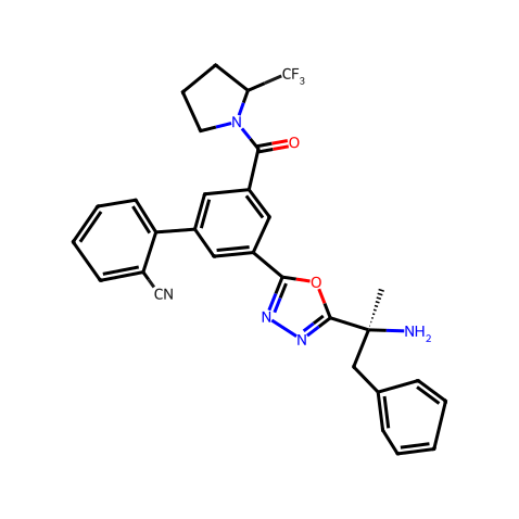 C[C@](N)(Cc1ccccc1)c1nnc(-c2cc(C(=O)N3CCCC3C(F)(F)F)cc(-c3ccccc3C#N)c2)o1